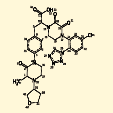 CC1C(=O)N(c2ccc(CC(C(=O)O)N3CCN(c4cc(Cl)ccc4-n4cnnn4)C(=O)C3=O)cc2)CCN1C1CCOC1